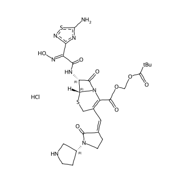 CC(C)(C)C(=O)OCOC(=O)C1=C(C=C2CCN([C@@H]3CCNC3)C2=O)CS[C@@H]2[C@H](NC(=O)C(=NO)c3nsc(N)n3)C(=O)N12.Cl